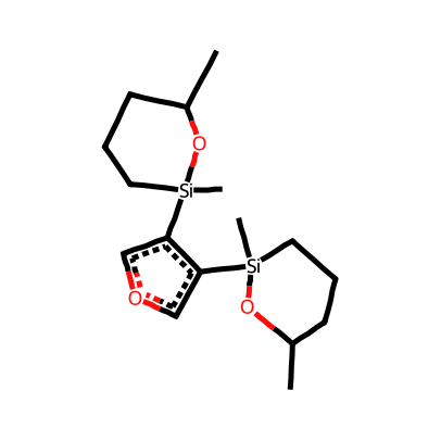 CC1CCC[Si](C)(c2cocc2[Si]2(C)CCCC(C)O2)O1